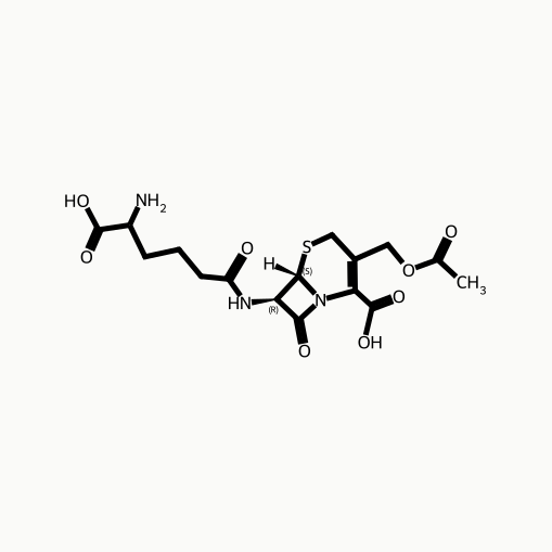 CC(=O)OCC1=C(C(=O)O)N2C(=O)[C@@H](NC(=O)CCCC(N)C(=O)O)[C@@H]2SC1